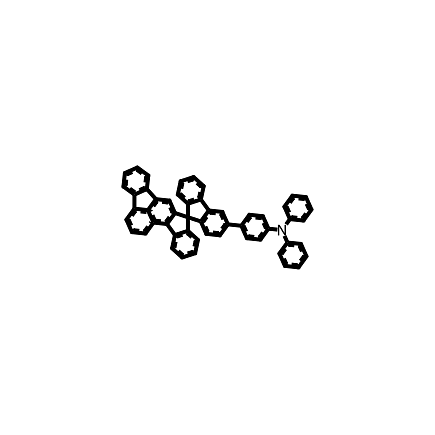 c1ccc(N(c2ccccc2)c2ccc(-c3ccc4c(c3)-c3ccccc3C43c4ccccc4-c4c3cc3c5c(cccc45)-c4ccccc4-3)cc2)cc1